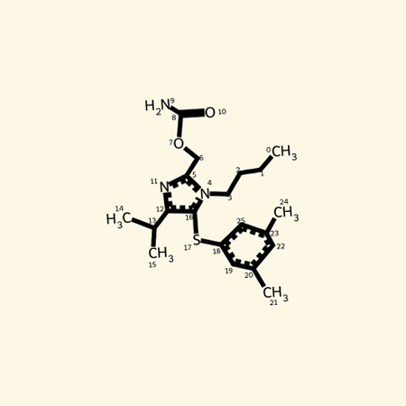 CCCCn1c(COC(N)=O)nc(C(C)C)c1Sc1cc(C)cc(C)c1